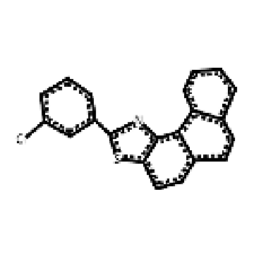 Clc1cccc(-c2nc3c(ccc4ccc5ccccc5c43)s2)c1